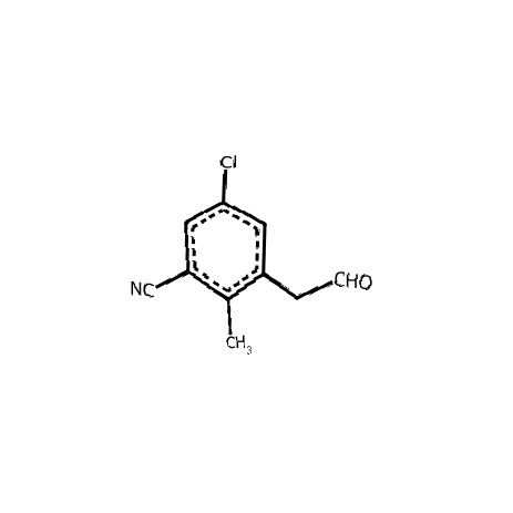 Cc1c(C#N)cc(Cl)cc1CC=O